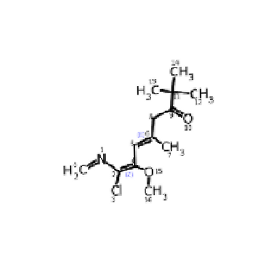 C=N/C(Cl)=C(\C=C(/C)CC(=O)C(C)(C)C)OC